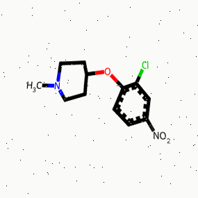 CN1CCC(Oc2ccc([N+](=O)[O-])cc2Cl)CC1